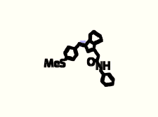 CSc1ccc(/C=C2\C=C(CC(=O)NCc3ccccc3)c3ccccc32)cc1